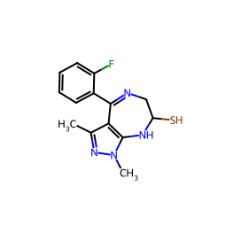 Cc1nn(C)c2c1C(c1ccccc1F)=NCC(S)N2